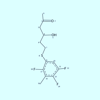 CC(=O)CC(O)CCSc1cc(F)c(F)c(C)c1F